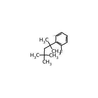 CC(C)(C)CC(C)(C)c1[c]cccc1F